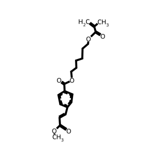 C=C(C)C(=O)OCCCCCCOC(=O)c1ccc(C=CC(=O)OC)cc1